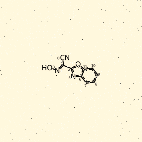 N#CC(=NO)c1nc2ccccc2o1